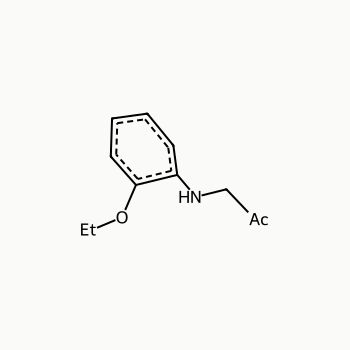 CCOc1ccccc1NCC(C)=O